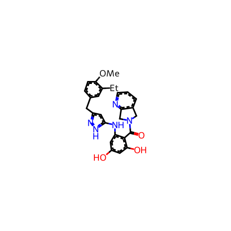 CCc1cc(Cc2cc(Nc3cc(O)cc(O)c3C(=O)N3Cc4cccnc4C3)[nH]n2)ccc1OC